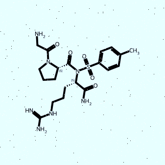 Cc1ccc(S(=O)(=O)N(C(=O)[C@@H]2CCCN2C(=O)CN)[C@@H](CCCNC(=N)N)C(N)=O)cc1